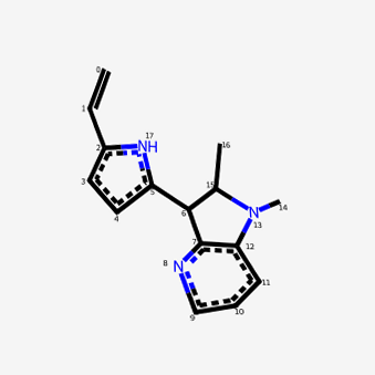 C=Cc1ccc(C2c3ncccc3N(C)C2C)[nH]1